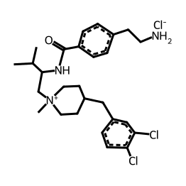 CC(C)C(C[N+]1(C)CCC(Cc2ccc(Cl)c(Cl)c2)CC1)NC(=O)c1ccc(CCN)cc1.[Cl-]